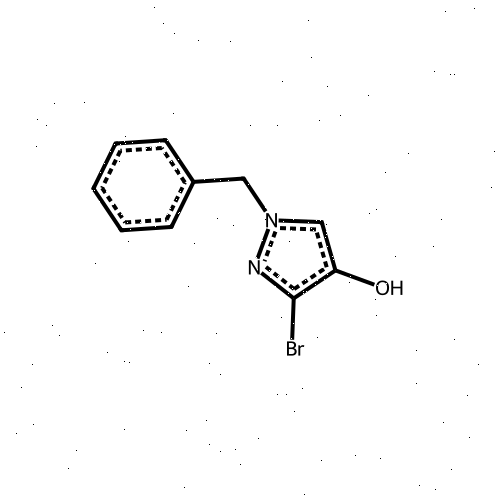 Oc1cn(Cc2ccccc2)nc1Br